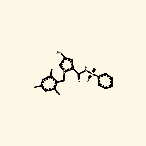 Cc1cc(C)c(Cn2cc(C(C)(C)C)cc2C(=O)NS(=O)(=O)c2ccccc2)c(C)c1